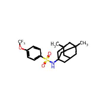 CC12CC3CC(C)(C1)CC(NS(=O)(=O)c1ccc(OC(F)(F)F)cc1)(C3)C2